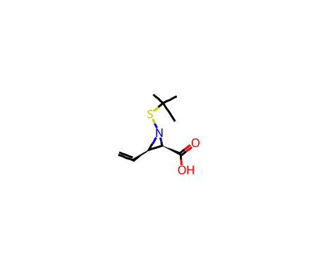 C=C[C@@H]1[C@H](C(=O)O)N1SC(C)(C)C